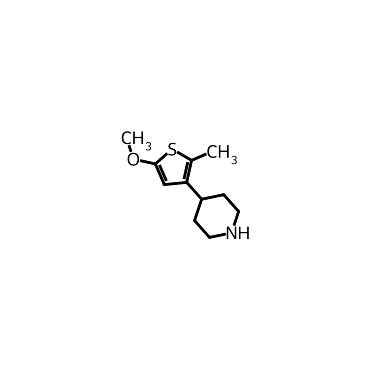 COc1cc(C2CCNCC2)c(C)s1